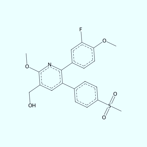 COc1ccc(-c2nc(OC)c(CO)cc2-c2ccc(S(C)(=O)=O)cc2)cc1F